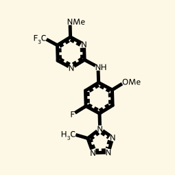 CNc1nc(Nc2cc(F)c(-n3nnnc3C)cc2OC)ncc1C(F)(F)F